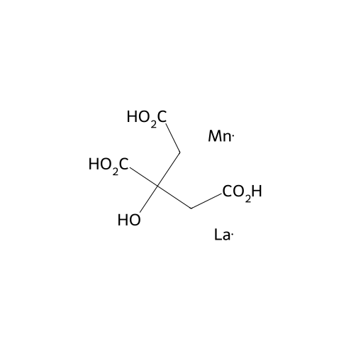 O=C(O)CC(O)(CC(=O)O)C(=O)O.[La].[Mn]